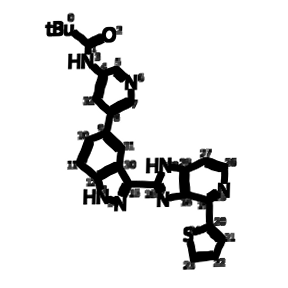 CC(C)(C)C(=O)Nc1cncc(-c2ccc3[nH]nc(-c4nc5c(-c6cccs6)nccc5[nH]4)c3c2)c1